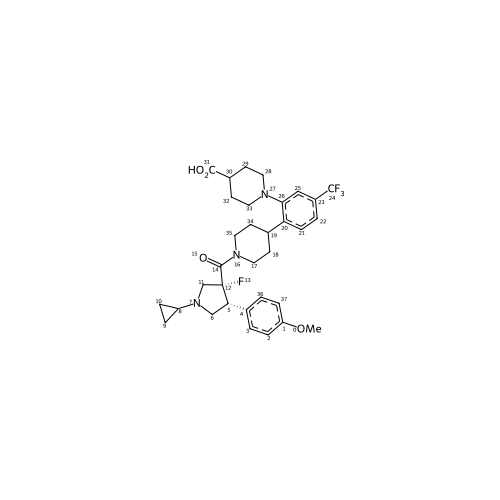 COc1ccc([C@@H]2CN(C3CC3)C[C@@]2(F)C(=O)N2CCC(c3ccc(C(F)(F)F)cc3N3CCC(C(=O)O)CC3)CC2)cc1